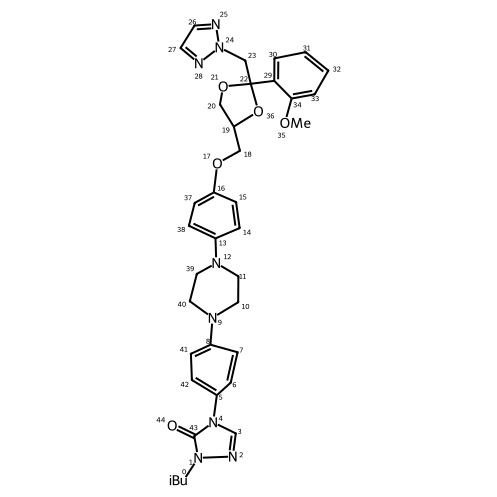 CCC(C)n1ncn(-c2ccc(N3CCN(c4ccc(OCC5COC(Cn6nccn6)(c6ccccc6OC)O5)cc4)CC3)cc2)c1=O